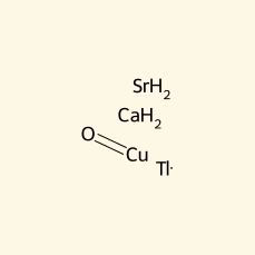 [CaH2].[O]=[Cu].[SrH2].[Tl]